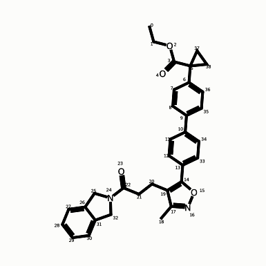 CCOC(=O)C1(c2ccc(-c3ccc(-c4onc(C)c4CCC(=O)N4Cc5ccccc5C4)cc3)cc2)CC1